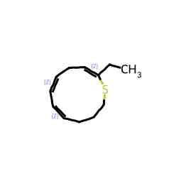 CC/C1=C/C/C=C\C=C/CCCS1